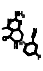 Cc1nc(N)nc2c1C(=O)N[C@@H](c1ccc(F)cc1C#N)C2